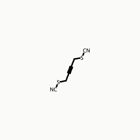 N#CSCC#CCSC#N